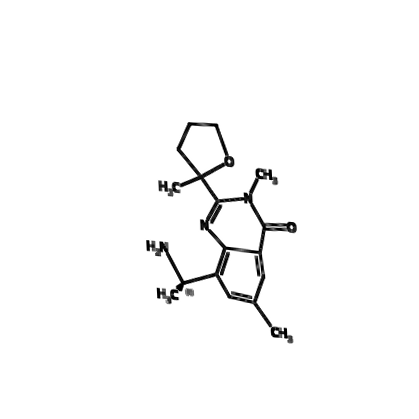 Cc1cc([C@@H](C)N)c2nc(C3(C)CCCO3)n(C)c(=O)c2c1